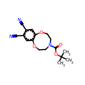 CC(C)(C)OC(=O)N1CCOc2cc(C#N)c(C#N)cc2OCC1